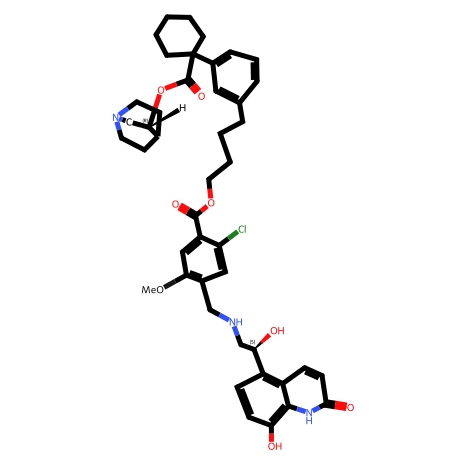 COc1cc(C(=O)OCCCCc2cccc(C3(C(=O)O[C@H]4CN5CCC4CC5)CCCCC3)c2)c(Cl)cc1CNC[C@@H](O)c1ccc(O)c2[nH]c(=O)ccc12